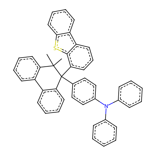 CC1(C)c2ccccc2-c2ccccc2C1(c1ccc(N(c2ccccc2)c2ccccc2)cc1)c1cccc2c1sc1ccccc12